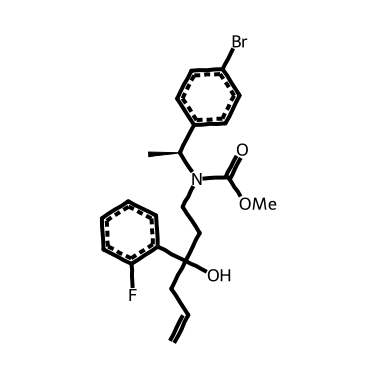 C=CCC(O)(CCN(C(=O)OC)[C@@H](C)c1ccc(Br)cc1)c1ccccc1F